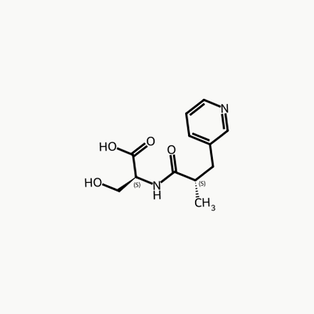 C[C@@H](Cc1cccnc1)C(=O)N[C@@H](CO)C(=O)O